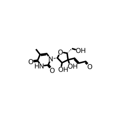 Cc1cn([C@@H]2O[C@H](CO)C(O)(C=CC=O)C2O)c(=O)[nH]c1=O